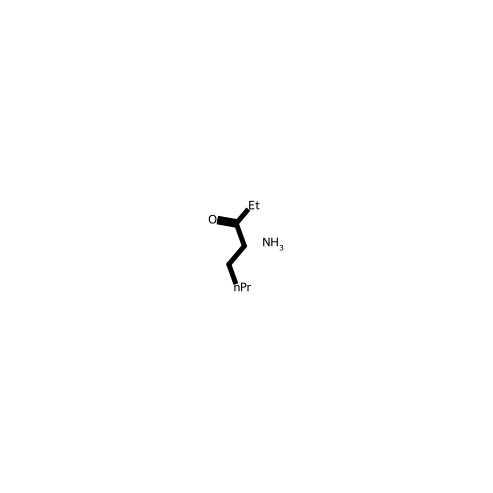 CCCCCC(=O)CC.N